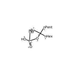 CCCCCCC(CCCC)(CCCCC)OP(=O)(O)O